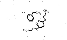 C=Cc1ccccc1.CCCOC(=O)/C=C\C(=O)OCCC